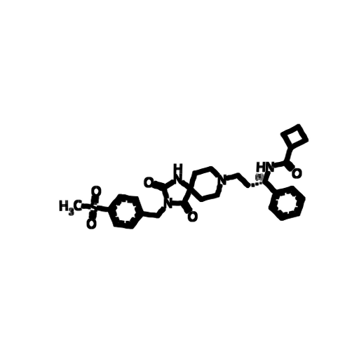 CS(=O)(=O)c1ccc(CN2C(=O)NC3(CCN(CC[C@H](NC(=O)C4CCC4)c4ccccc4)CC3)C2=O)cc1